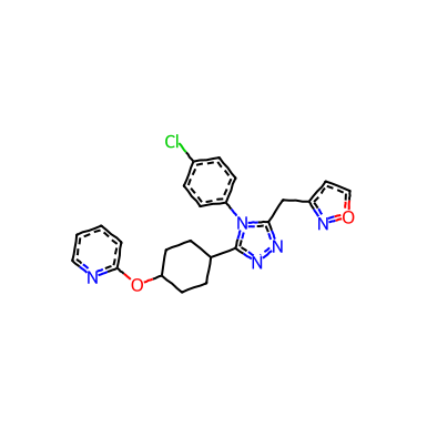 Clc1ccc(-n2c(Cc3ccon3)nnc2C2CCC(Oc3ccccn3)CC2)cc1